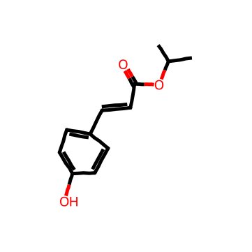 CC(C)OC(=O)C=Cc1ccc(O)cc1